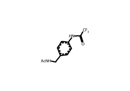 CC(=O)NCc1ccc(NC(=O)C(F)(F)F)cc1